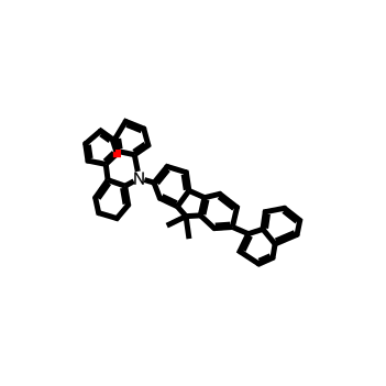 CC1(C)c2cc(-c3cccc4ccccc34)ccc2-c2ccc(N(C3=CCCC=C3c3ccccc3)c3ccccc3)cc21